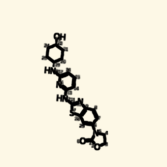 O=C1OCCN1c1ccc2nc(Nc3cccc(N[C@H]4CC[C@H](O)CC4)n3)sc2c1